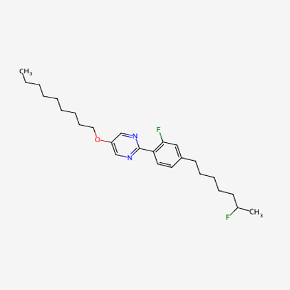 CCCCCCCCCOc1cnc(-c2ccc(CCCCCC(C)F)cc2F)nc1